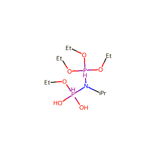 CCO[PH](O)(O)N(C(C)C)[PH](OCC)(OCC)OCC